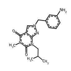 CC(C)Cn1c(=O)n(C)c(=O)c2cn(Cc3cccc(N)c3)nc21